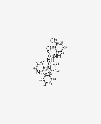 S=C(NCc1ccnc(-c2ccccc2)c1N1CCCC1)Nc1cccc(Cl)c1Cl